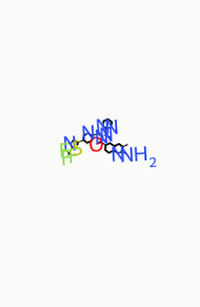 Cc1cc2cc(C(=O)N(Cc3ccc(-c4cnc(C(F)(F)F)s4)cn3)N(C)c3ncccn3)ccc2nc1N